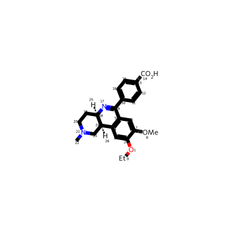 CCOc1cc2c(cc1OC)C(c1ccc(C(=O)O)cc1)=N[C@@H]1CCN(C)C[C@H]21